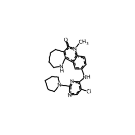 Cn1c(=O)c2c(c3cc(Nc4nc(N5CCCCC5)ncc4Cl)ccc31)NCCCC2